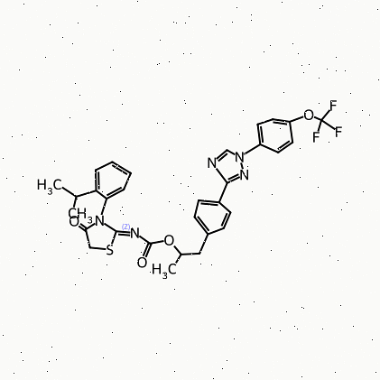 CC(Cc1ccc(-c2ncn(-c3ccc(OC(F)(F)F)cc3)n2)cc1)OC(=O)/N=C1\SCC(=O)N1c1ccccc1C(C)C